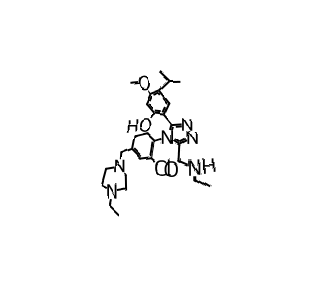 CCNC(=O)c1nnc(-c2cc(C(C)C)c(OC)cc2O)n1C1=C(Cl)C=C(CN2CCN(CC)CC2)CC1